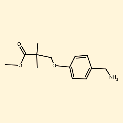 COC(=O)C(C)(C)COc1ccc(CN)cc1